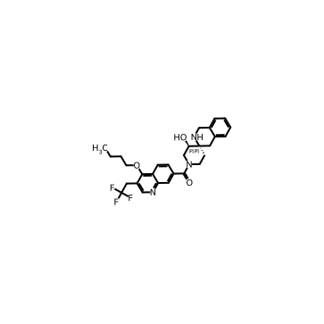 CCCCOc1c(CC(F)(F)F)cnc2cc(C(=O)N3CC[C@]4(Cc5ccccc5CN4)[C@H](O)C3)ccc12